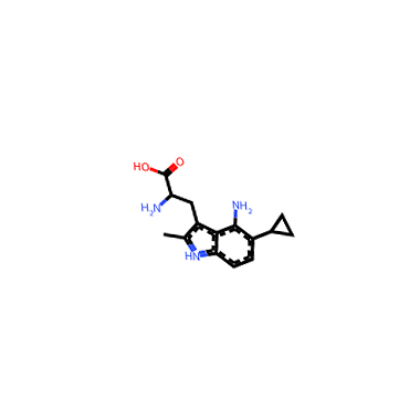 Cc1[nH]c2ccc(C3CC3)c(N)c2c1CC(N)C(=O)O